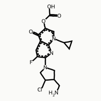 NCC1CN(c2nc3c(cc2F)c(=O)c(OC(=O)O)cn3C2CC2)CC1Cl